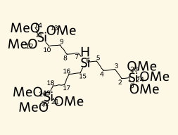 CO[Si](CCCC[SiH](CCCC[Si](OC)(OC)OC)CCCC[Si](OC)(OC)OC)(OC)OC